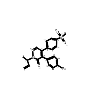 C=CC(C)n1ncc(-c2ccc(S(C)(=O)=O)cc2)c(-c2ccc(F)cc2)c1=O